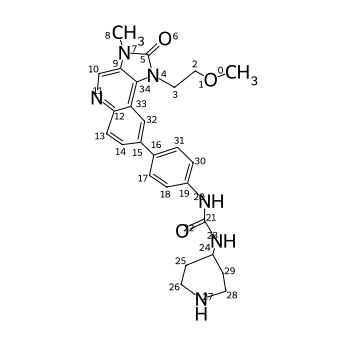 COCCn1c(=O)n(C)c2cnc3ccc(-c4ccc(NC(=O)NC5CCNCC5)cc4)cc3c21